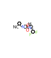 N#Cc1ccccc1CN1CCC2(CC1)O[C@@H]1CC[C@@H](c3cc(F)cc(F)c3)N1C2=O